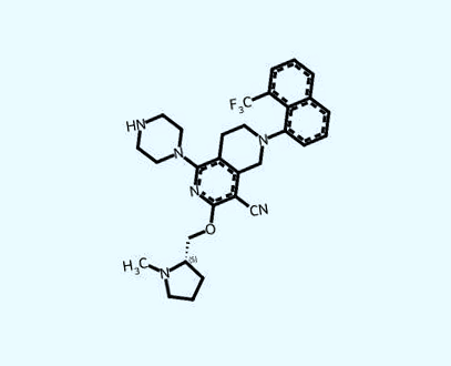 CN1CCC[C@H]1COc1nc(N2CCNCC2)c2c(c1C#N)CN(c1cccc3cccc(C(F)(F)F)c13)CC2